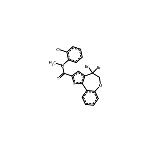 CN(C(=O)c1cc2c(s1)-c1ccccc1OCC2(Br)Br)c1ccccc1Cl